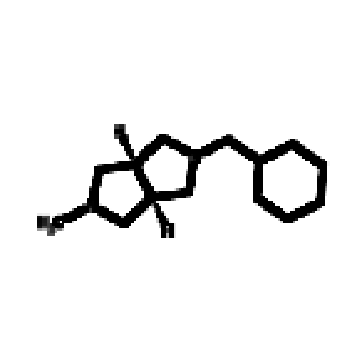 CN1C[C@@H]2CN(CC3CCCCC3)C[C@@H]2C1